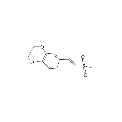 CS(=O)(=O)/C=C/c1ccc2c(c1)OCCO2